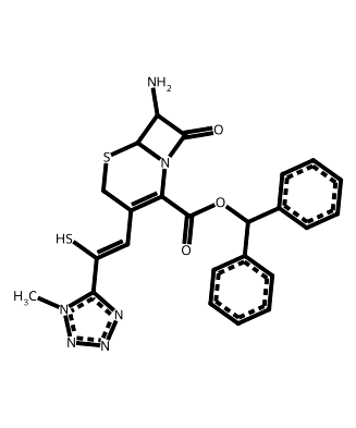 Cn1nnnc1C(S)=CC1=C(C(=O)OC(c2ccccc2)c2ccccc2)N2C(=O)C(N)C2SC1